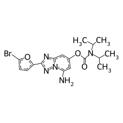 CC(C)N(C(=O)Oc1cc(N)n2nc(-c3ccc(Br)o3)nc2c1)C(C)C